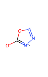 [O-]C1=[N+]N=NO1